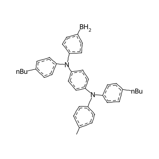 Bc1ccc(N(c2ccc(CCCC)cc2)c2ccc(N(c3ccc(C)cc3)c3ccc(CCCC)cc3)cc2)cc1